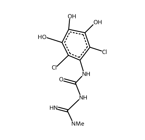 CNC(=N)NC(=O)Nc1c(Cl)c(O)c(O)c(O)c1Cl